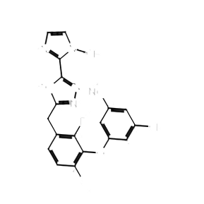 Cn1ccnc1-c1nnc(Cc2ccc(Cl)c(Oc3cc(Cl)cc(C#N)c3)c2F)o1